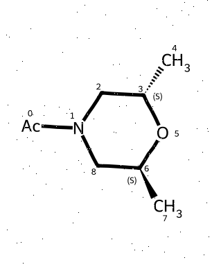 CC(=O)N1C[C@H](C)O[C@@H](C)C1